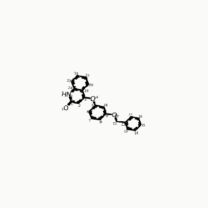 O=c1cc(Oc2cccc(OCc3ccccc3)c2)c2ccccc2[nH]1